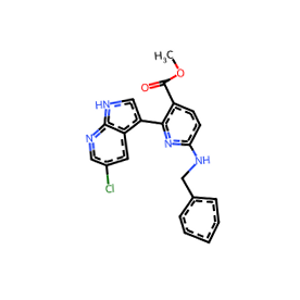 COC(=O)c1ccc(NCc2ccccc2)nc1-c1c[nH]c2ncc(Cl)cc12